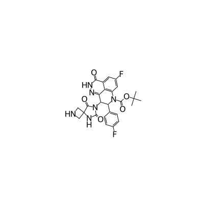 CC(C)(C)OC(=O)N1c2cc(F)cc3c(=O)[nH]nc(c23)C(N2C(=O)NC3(CNC3)C2=O)C1c1ccc(F)cc1